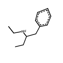 CCNC(CC)Cc1ccccc1